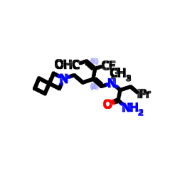 CC(C)CC(C(N)=O)N(C)/C=C(CCN1CC2(CCC2)C1)\C(=C/C=O)C(F)(F)F